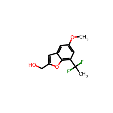 COc1cc(C(C)(F)F)c2oc(CO)cc2c1